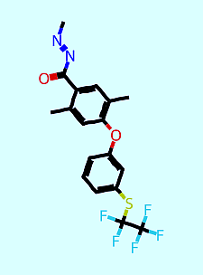 CN=NC(=O)c1cc(C)c(Oc2cccc(SC(F)(F)C(F)(F)F)c2)cc1C